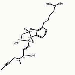 CC#CC[C@H](C)[C@H](O)/C=C/[C@@H]1[C@H]2c3cccc(CCCCN(CCCC)CCCC)c3O[C@H]2C[C@H]1O